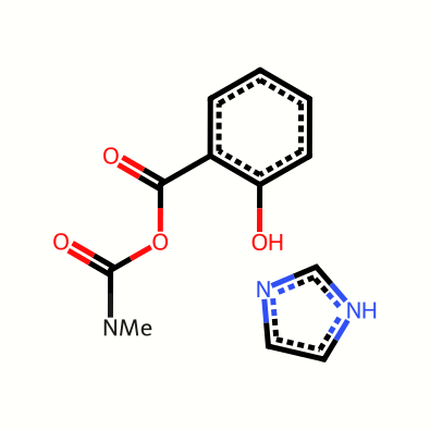 CNC(=O)OC(=O)c1ccccc1O.c1c[nH]cn1